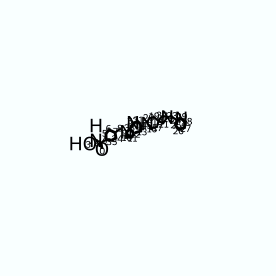 O=C(NO)c1ccc(Cn2ccc3cc(N4CCC5(CC4)CN(Cc4ccccn4)C5)cnc32)cc1